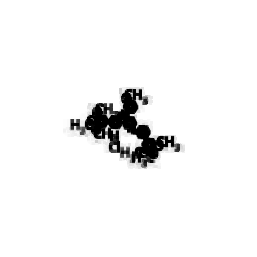 COc1cccc(N(Cc2cccc(-c3cc(OC)c(OC)c(OC)c3)c2)C2CCN(Cc3cccc(-c4cc(OC)c(OC)c(OC)c4)c3)CC2)c1.Cl